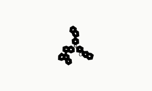 c1ccc2cc(-c3ccc(N(c4ccc5c(-c6cc7ccccc7c7ccccc67)cccc5c4)c4ccc5c(c4)oc4cc6ccccc6cc45)cc3)ccc2c1